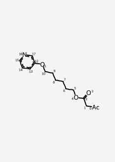 CC(=O)CC(=O)OCCCCCCOc1cccnc1